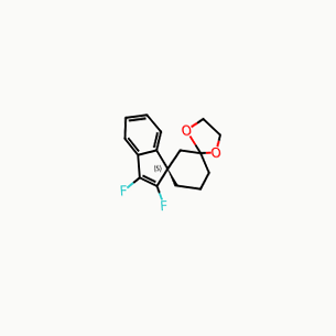 FC1=C(F)[C@]2(CCCC3(C2)OCCO3)c2ccccc21